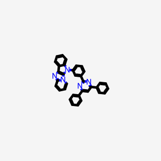 c1ccc(-c2cc(-c3ccccc3)nc(-c3cccc(-n4c5ccccc5c5nc6ccccn6c54)c3)n2)cc1